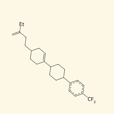 C=C(CC)CCC1CC=C(C2CCC(c3ccc(C(F)(F)F)cc3)CC2)CC1